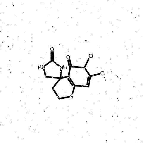 O=C1NCC2(CCSC3=C2C(=O)C(Cl)C(Cl)=C3)N1